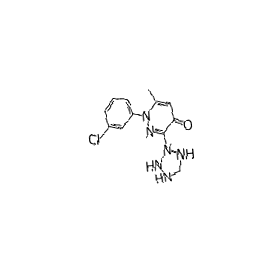 Cc1cc(=O)c(N2NCNN2)nn1-c1cccc(Cl)c1